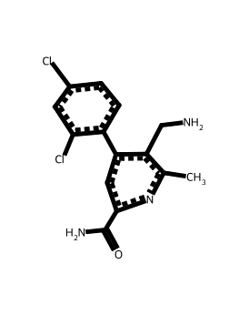 Cc1nc(C(N)=O)cc(-c2ccc(Cl)cc2Cl)c1CN